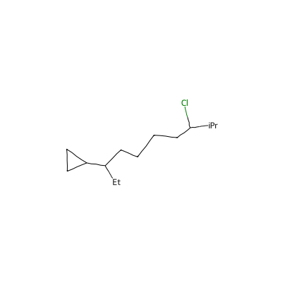 CCC(CCCCC(Cl)C(C)C)C1CC1